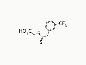 O=C(O)CSC(=S)Cc1cccc(C(F)(F)F)c1